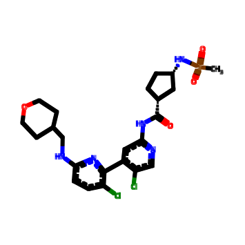 CS(=O)(=O)N[C@H]1CC[C@@H](C(=O)Nc2cc(-c3nc(NCC4CCOCC4)ccc3Cl)c(Cl)cn2)C1